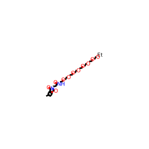 CCOCCOCCOCCOCCOCCOCCOCCOCCNC(=O)CCN1C(=O)C2C3C=C(C)C(C3)C2C1=O